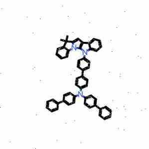 CC1(C)c2ccccc2-n2c1cc1c3ccccc3n(-c3ccc(-c4ccc(N(c5ccc(-c6ccccc6)cc5)c5ccc(-c6ccccc6)cc5)cc4)cc3)c12